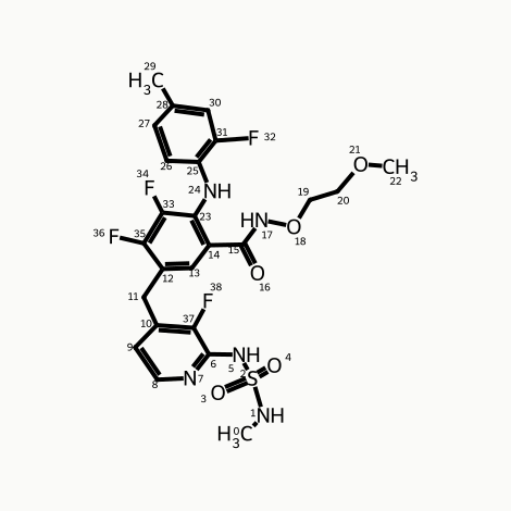 CNS(=O)(=O)Nc1nccc(Cc2cc(C(=O)NOCCOC)c(Nc3ccc(C)cc3F)c(F)c2F)c1F